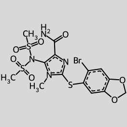 Cn1c(Sc2cc3c(cc2Br)OCO3)nc(C(N)=O)c1N(S(C)(=O)=O)S(C)(=O)=O